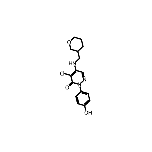 O=c1c(Cl)c(NCC2CCCOC2)cnn1-c1ccc(O)cc1